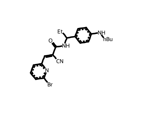 CCCCNc1ccc(C(CC)NC(=O)/C(C#N)=C/c2cccc(Br)n2)cc1